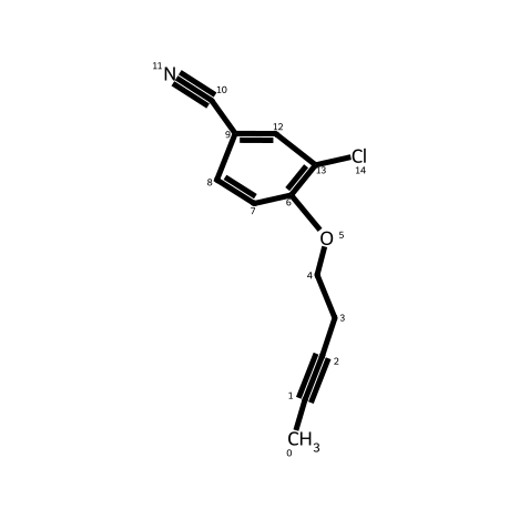 CC#CCCOc1ccc(C#N)cc1Cl